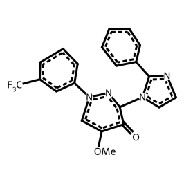 COc1cn(-c2cccc(C(F)(F)F)c2)nc(-n2ccnc2-c2ccccc2)c1=O